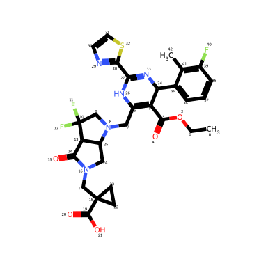 CCOC(=O)C1=C(CN2CC(F)(F)C3C(=O)N(CC4(C(=O)O)CC4)CC32)NC(c2nccs2)=NC1c1cccc(F)c1C